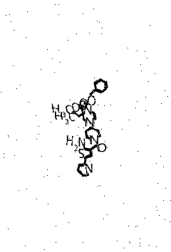 CC1(C)CC2(CN(C3CCN(C(=O)c4cc(-c5ccccn5)sc4N)CC3)CCN2C(=O)OCc2ccccc2)C(=O)O1